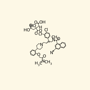 CN(C)C(=O)COc1ccccc1C1CCN(CC[C@H](CN(C)C(=O)c2cc(C#N)cc3ccccc23)c2ccc(Cl)c(Cl)c2)CC1.O=C(O)CC(O)(CC(=O)O)C(=O)O